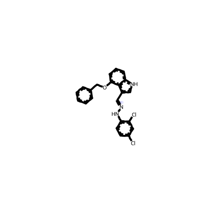 Clc1ccc(N/N=C/c2c[nH]c3cccc(OCc4ccccc4)c23)c(Cl)c1